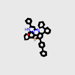 C1=CC2c3ccccc3-c3cc(-c4ccc(-c5ccccc5)cc4)c4sc5ccccc5c4c3N(C3=NC(C4=CCCC=C4)NC(c4ccccc4)=C3)C2C=C1